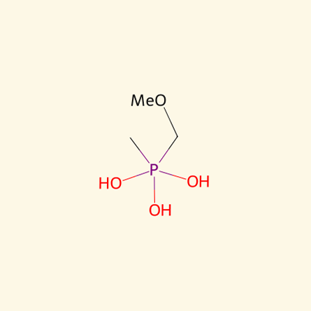 COCP(C)(O)(O)O